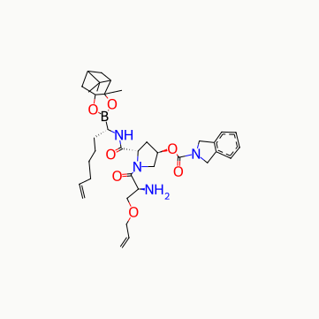 C=CCCCC[C@@H](NC(=O)[C@@H]1C[C@@H](OC(=O)N2Cc3ccccc3C2)CN1C(=O)[C@@H](N)COCC=C)B1OC2CC3CC(C3(C)C)C2(C)O1